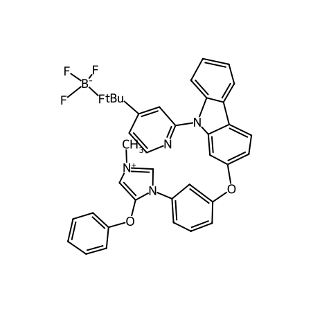 C[n+]1cc(Oc2ccccc2)n(-c2cccc(Oc3ccc4c5ccccc5n(-c5cc(C(C)(C)C)ccn5)c4c3)c2)c1.F[B-](F)(F)F